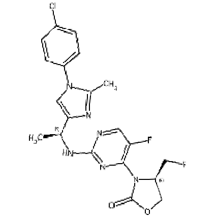 Cc1nc([C@H](C)Nc2ncc(F)c(N3C(=O)OC[C@@H]3CF)n2)cn1-c1ccc(Cl)cc1